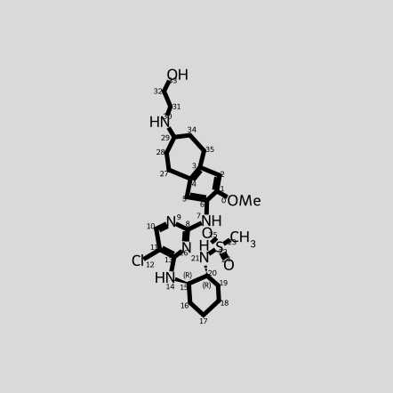 COc1cc2c(cc1Nc1ncc(Cl)c(N[C@@H]3CCCC[C@H]3NS(C)(=O)=O)n1)CCC(NCCO)CC2